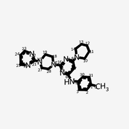 Cc1ccc(Nc2cc(N3CCCCC3)nc(N3CCN(c4ncccn4)CC3)n2)cc1